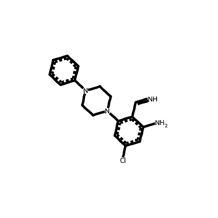 N=Cc1c(N)cc(Cl)cc1N1CCN(c2ccccc2)CC1